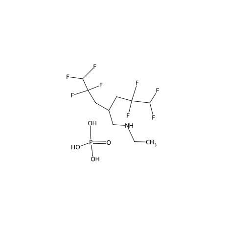 CCNCC(CC(F)(F)C(F)F)CC(F)(F)C(F)F.O=P(O)(O)O